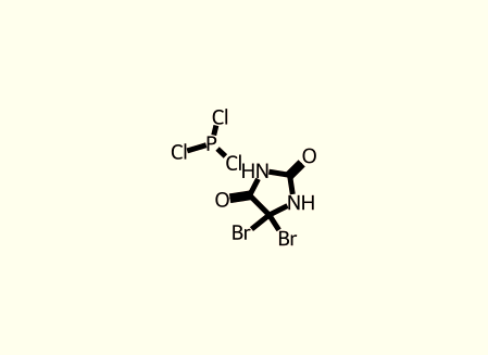 ClP(Cl)Cl.O=C1NC(=O)C(Br)(Br)N1